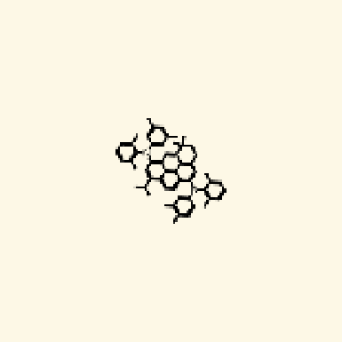 Cc1cc(C)cc(N(c2c(C)cccc2C)c2cc(C(C)C)c3ccc4c(N(c5ccc(C)c(C)c5)c5c(C)cccc5C)cc5c6c(cc2c3c46)C(C)(C)CC5)c1